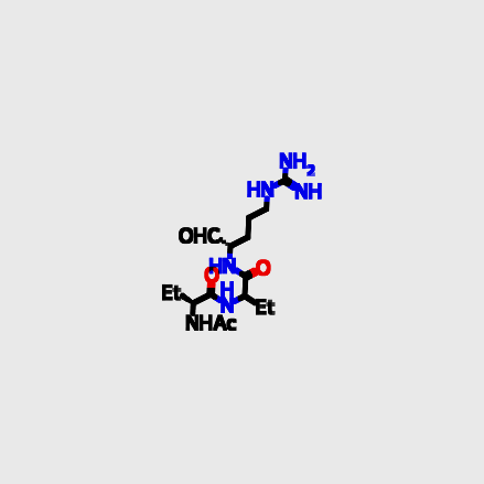 CCC(NC(=O)[C@H](CC)NC(C)=O)C(=O)N[C@H](C=O)CCCNC(=N)N